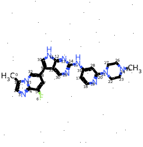 Cc1cnc2c(F)cc(-c3c[nH]c4nc(Nc5ccnc(N6CCN(C)CC6)c5)ncc34)cn12